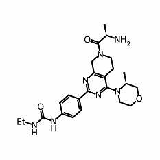 CCNC(=O)Nc1ccc(-c2nc3c(c(N4CCOC[C@@H]4C)n2)CCN(C(=O)[C@@H](C)N)C3)cc1